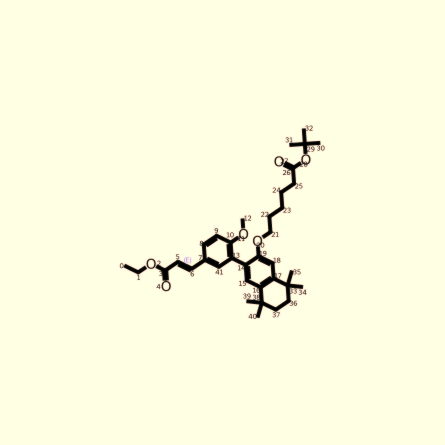 CCOC(=O)/C=C/c1ccc(OC)c(-c2cc3c(cc2OCCCCCC(=O)OC(C)(C)C)C(C)(C)CCC3(C)C)c1